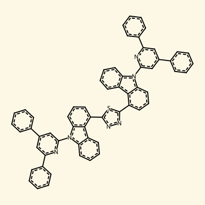 c1ccc(-c2cc(-c3ccccc3)nc(-n3c4ccccc4c4c(-c5nnc(-c6cccc7c6c6ccccc6n7-c6cc(-c7ccccc7)cc(-c7ccccc7)n6)s5)cccc43)c2)cc1